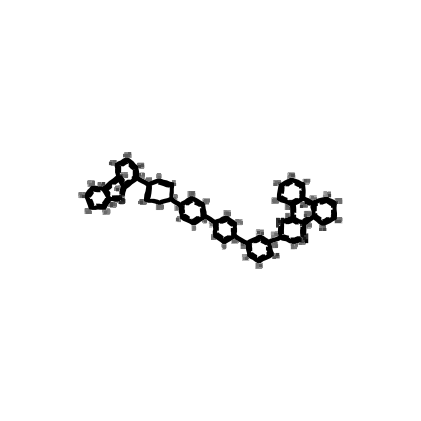 C1=CC(c2ccc(-c3ccc(-c4cccc(-c5cnc6c7ccccc7c7ccccc7c6n5)c4)cc3)cc2)CC=C1c1cccc2c1sc1ccccc12